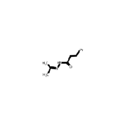 CC(C)=NNC(=O)CCC(C)C